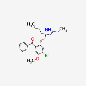 CCCCC(N)(CCCC)CSc1cc(Br)c(OC)cc1C(=O)c1ccccc1